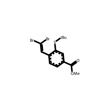 COC(=O)c1ccc(C=C(Br)Br)c(SC(C)(C)C)c1